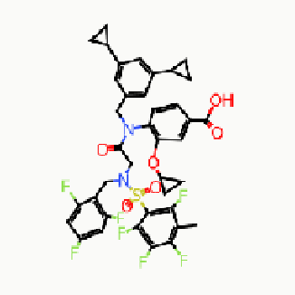 Cc1c(F)c(F)c(F)c(S(=O)(=O)N(CC(=O)N(Cc2cc(C3CC3)cc(C3CC3)c2)c2ccc(C(=O)O)cc2OC2CC2)Cc2c(F)cc(F)cc2F)c1F